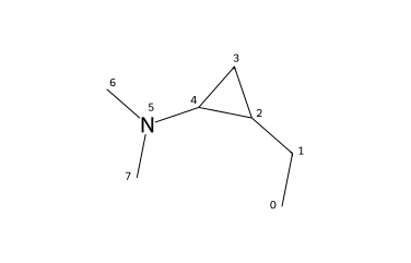 CCC1CC1N(C)C